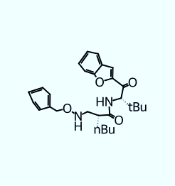 CCCC[C@H](CNOCc1ccccc1)C(=O)N[C@H](C(=O)c1cc2ccccc2o1)C(C)(C)C